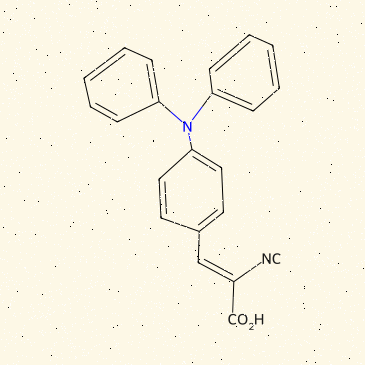 [C-]#[N+]/C(=C\c1ccc(N(c2ccccc2)c2ccccc2)cc1)C(=O)O